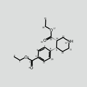 CCOC(=O)c1ccc([C@H]2CCNC[C@H]2C(=O)OCC)cc1